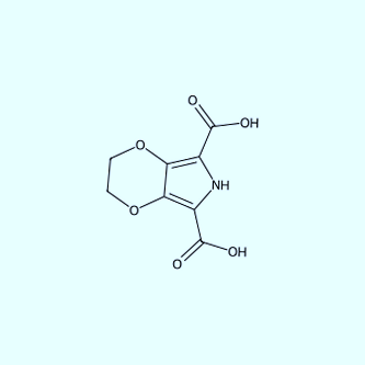 O=C(O)c1[nH]c(C(=O)O)c2c1OCCO2